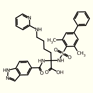 Cc1cc(-c2ccccc2)cc(C)c1S(=O)(=O)NC(CCCCNc1ccccn1)(NC(=O)c1ccc2[nH]ncc2c1)C(=O)O